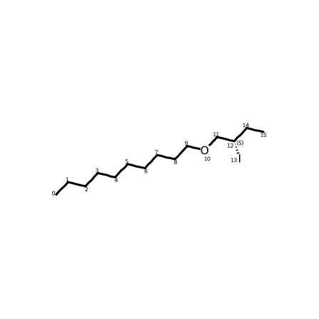 CCCCCCCCCCOC[C@@H](I)CC